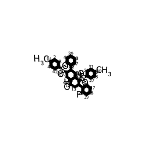 Cc1ccc(S(=O)(=O)C2C[C@H]3C(=O)CC(c4ccccc4F)C(S(=O)(=O)c4ccc(C)cc4)[C@H]3CC2c2ccccc2)cc1